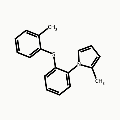 Cc1ccccc1Sc1ccccc1-n1cccc1C